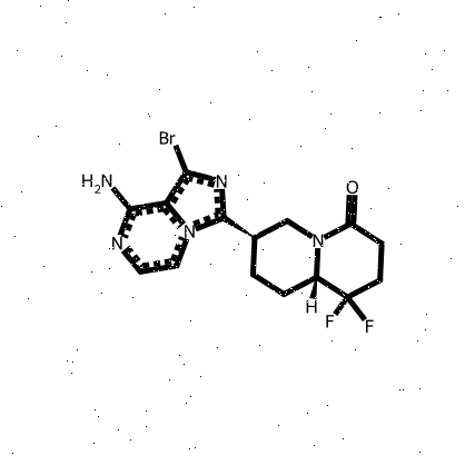 Nc1nccn2c([C@@H]3CC[C@@H]4N(C3)C(=O)CCC4(F)F)nc(Br)c12